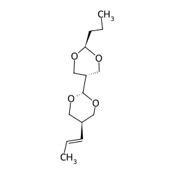 C/C=C/[C@H]1CO[C@H]([C@H]2CO[C@H](CCC)OC2)OC1